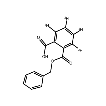 [2H]c1c([2H])c([2H])c(C(=O)OCc2ccccc2)c(C(=O)O)c1[2H]